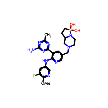 COc1ncc(Nc2ncc(CN3CCN4C(CCS4(O)O)C3)cc2-c2nc(C)nc(N)n2)cc1F